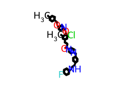 Cc1ccc(COc2ccc(Oc3c(C)cc(/C=C/C(=O)N4CCN(Cc5ccc(CCNc6ccc(F)cc6)cc5)CC4)cc3Cl)nc2)cc1